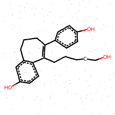 OCCCCCC1=C(c2ccc(O)cc2)CCCc2cc(O)ccc21